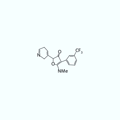 CNC1=C(c2cccc(C(F)(F)F)c2)C(=O)C(C2=CCC=NC2)O1